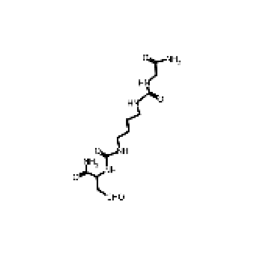 NC(=O)CNC(=O)NCCCCNC(=O)NC(CC=O)C(N)=O